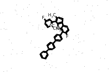 Cc1ccc2c(oc3c(-c4ccc(-c5ccc(-c6ccccc6)cc5)cc4)c(F)ccc32)c1-c1cc(F)cc[n+]1C